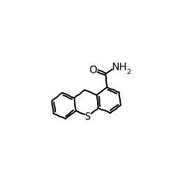 NC(=O)c1cccc2c1Cc1ccccc1S2